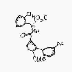 COc1ncc(C(=O)N[C@@H](CC(=O)O)c2ccccc2Cl)cc1-c1cccc(C(C)=O)c1